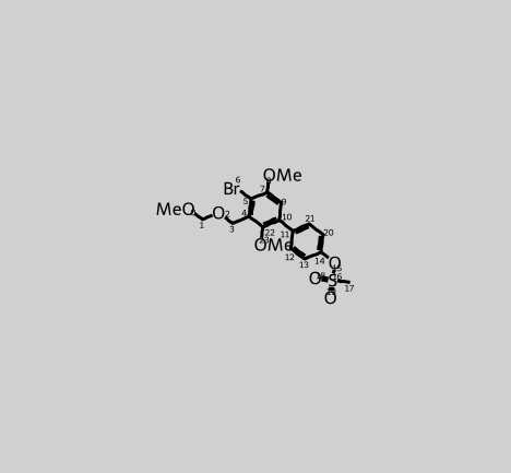 COCOCc1c(Br)c(OC)cc(-c2ccc(OS(C)(=O)=O)cc2)c1OC